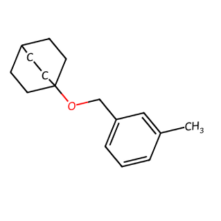 Cc1cccc(COC23CCC(CC2)CC3)c1